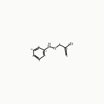 C=C(CC)CSNc1ccccc1